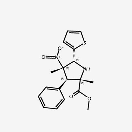 COC(=O)[C@@]1(C)N[C@@H](c2cccs2)[C@@](C)([N+](=O)[O-])[C@@H]1c1ccccc1